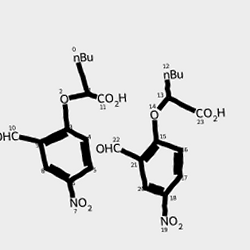 CCCCC(Oc1ccc([N+](=O)[O-])cc1C=O)C(=O)O.CCCCC(Oc1ccc([N+](=O)[O-])cc1C=O)C(=O)O